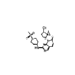 CS(=O)(=O)N1CCC(Nc2ncc3ccc(=O)n([C@@H]4CCC(O)C45CC5)c3n2)CC1